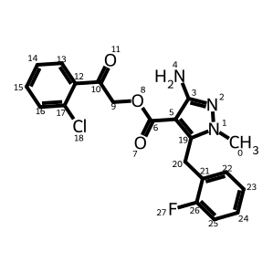 Cn1nc(N)c(C(=O)OCC(=O)c2ccccc2Cl)c1Cc1ccccc1F